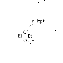 CCCCCCCCCCOC(CC)(CC)C(=O)O